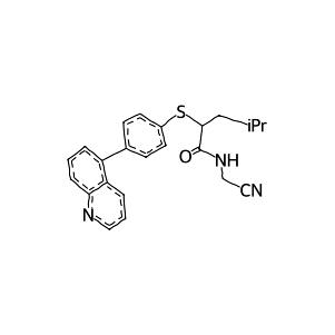 CC(C)CC(Sc1ccc(-c2cccc3ncccc23)cc1)C(=O)NCC#N